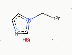 Br.CCCCn1ccnc1